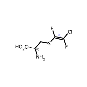 N[C@@H](CS/C(F)=C(\F)Cl)C(=O)O